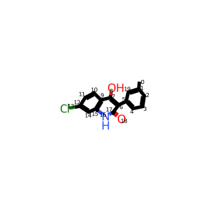 Cc1cccc(-c2c(O)c3ccc(Cl)cc3[nH]c2=O)c1